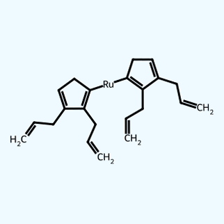 C=CCC1=CC[C]([Ru][C]2=C(CC=C)C(CC=C)=CC2)=C1CC=C